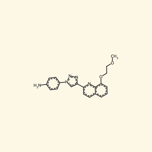 COCCOc1cccc2ccc(-c3cn(-c4ccc(N)cc4)nn3)nc12